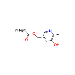 CCCCCCCC(=O)OCc1cnc(C)c(O)c1